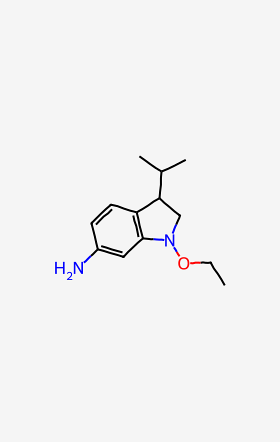 CCON1CC(C(C)C)c2ccc(N)cc21